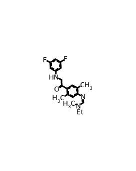 CCN(C)/C=N\c1cc(C)c(C(=O)CNc2cc(F)cc(F)c2)cc1C